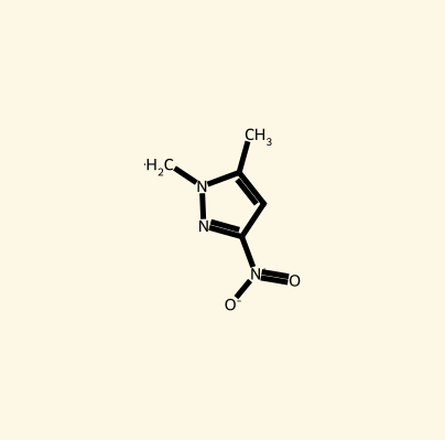 [CH2]n1nc([N+](=O)[O-])cc1C